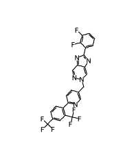 Fc1cccc(-c2nc3cnn(Cc4ccc(-c5ccc(C(F)(F)F)cc5C(F)(F)F)nc4)cc-3n2)c1F